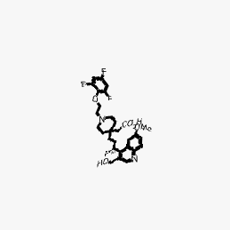 COc1ccc2ncc(CO)c([C@@H](F)CCC3(CC(=O)O)CCN(CCOc4c(F)cc(F)cc4F)CC3)c2c1